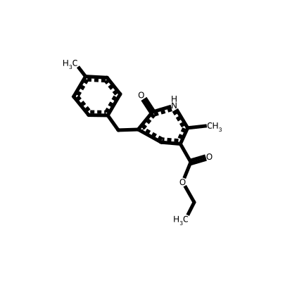 CCOC(=O)c1cc(Cc2ccc(C)cc2)c(=O)[nH]c1C